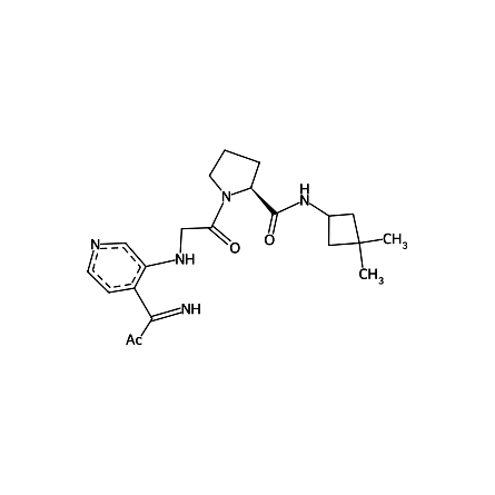 CC(=O)C(=N)c1ccncc1NCC(=O)N1CCC[C@H]1C(=O)NC1CC(C)(C)C1